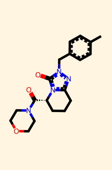 Cc1ccc(Cn2nc3n(c2=O)[C@@H](C(=O)N2CCOCC2)CCC3)cc1